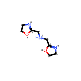 C1COC(CNCC2=NCCO2)=N1